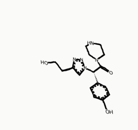 O=C([C@H](c1ccc(O)cc1)n1cc(CCO)nn1)N1CCNCC1